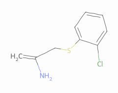 C=C(N)CSc1ccccc1Cl